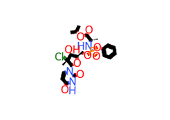 CC(C)OC(=O)[C@H](C)NP(=O)(OC[C@H]1O[C@@H](n2ccc(=O)[nH]c2=O)[C@](C)(Cl)[C@@H]1O)Oc1ccccc1